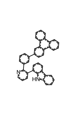 c1cc(-c2ccc3c4ccccc4c4ccccc4c3c2)cc(-c2ncccc2-c2cccc3c2[nH]c2ccccc23)c1